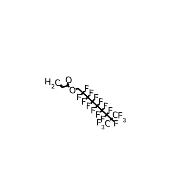 C=CC(=O)OCC(F)(F)C(F)(F)C(F)(F)C(F)(F)C(F)(F)C(F)(F)C(F)(C(F)(F)F)C(F)(F)F